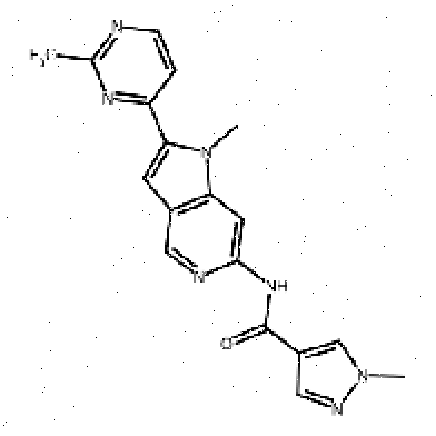 Cn1cc(C(=O)Nc2cc3c(cn2)cc(-c2ccnc(C(F)(F)F)n2)n3C)cn1